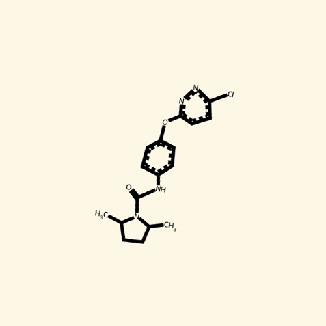 CC1CCC(C)N1C(=O)Nc1ccc(Oc2ccc(Cl)nn2)cc1